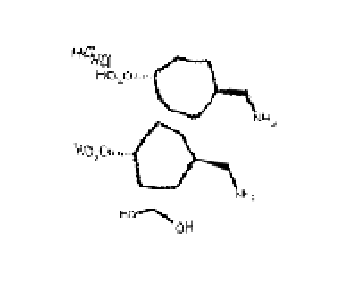 Cl.Cl.NC[C@H]1CC[C@H](C(=O)O)CC1.NC[C@H]1CC[C@H](C(=O)O)CC1.OCO